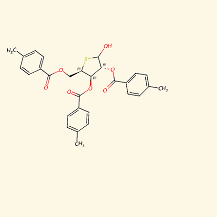 Cc1ccc(C(=O)OC[C@H]2SC(O)[C@H](OC(=O)c3ccc(C)cc3)[C@H]2OC(=O)c2ccc(C)cc2)cc1